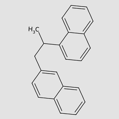 CC(Cc1ccc2ccccc2c1)c1cccc2ccccc12